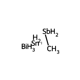 [BiH3].[CH3][SbH2].[SnH2]